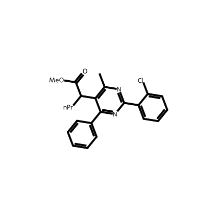 CCCC(C(=O)OC)c1c(C)nc(-c2ccccc2Cl)nc1-c1ccccc1